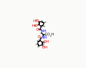 O=C(NC[C@H](NC(=O)c1cccc(O)c1O)C(=O)O)c1cccc(O)c1O